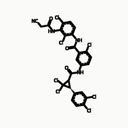 N#CCC(=O)Nc1c(Cl)ccc(NC(=O)c2cc(NC(=O)C3[C@H](c4ccc(Cl)c(Cl)c4)C3(Cl)Cl)ccc2Cl)c1Cl